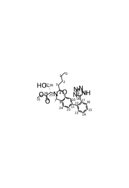 CCCCC(=O)N(Cc1ccc(-c2ccccc2-c2nnn[nH]2)cc1)[C@@H](CO)C(=O)OC